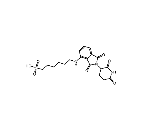 O=C1CCC(N2C(=O)c3cccc(NCCCCCCS(=O)(=O)O)c3C2=O)C(=O)N1